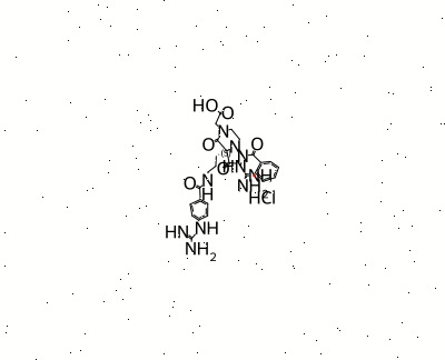 CC(=O)[C@@]1(CCCNC(=O)c2ccc(NC(=N)N)cc2)C(=O)N(CC(=O)O)CCN1N(NC(=N)N)C(=O)c1ccccc1.Cl